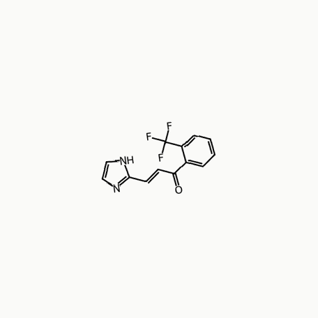 O=C(/C=C/c1ncc[nH]1)c1ccccc1C(F)(F)F